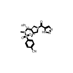 CCC[C@H]([C@H]1CN(C(=O)c2cnn[nH]2)C[C@H]1C)N(C)S(=O)(=O)c1ccc(C#N)cc1